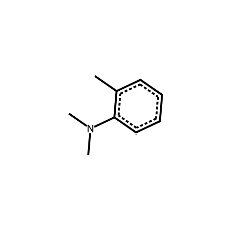 Cc1ccc[c]c1N(C)C